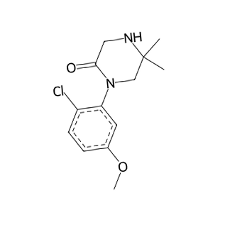 COc1ccc(Cl)c(N2CC(C)(C)NCC2=O)c1